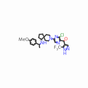 COc1ccc(C(C)N[C@@H]2CCCC23CCN(c2cnc(C(=O)c4cn[nH]c4C(F)(F)F)c(Cl)n2)CC3)cc1